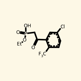 CCOP(=O)(O)CC(=O)c1cc(Cl)ccc1C(F)(F)F